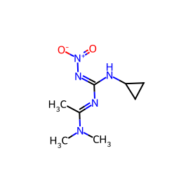 CC(=NC(=N[N+](=O)[O-])NC1CC1)N(C)C